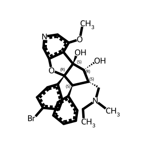 CCN(C)C[C@H]1[C@@H](O)[C@@]2(O)c3c(OC)cncc3O[C@@]2(c2ccc(Br)cc2)[C@@H]1c1ccccc1